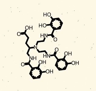 O=C(O)CCC(CNC(=O)c1cccc(O)c1O)N(CCNC(=O)c1cccc(O)c1O)CCNC(=O)c1cccc(O)c1O